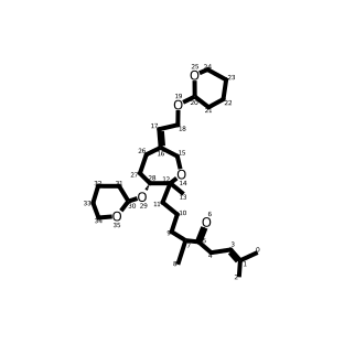 CC(C)=CCC(=O)C(C)CCCC1(C)OCC(=CCOC2CCCCO2)CC[C@H]1OC1CCCCO1